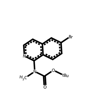 CN(C(=O)OC(C)(C)C)c1nccc2cc(Br)ccc12